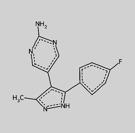 Cc1n[nH]c(-c2ccc(F)cc2)c1-c1cnc(N)nc1